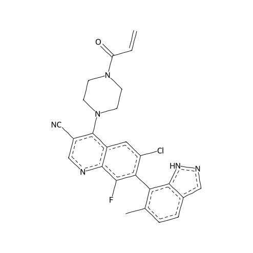 C=CC(=O)N1CCN(c2c(C#N)cnc3c(F)c(-c4c(C)ccc5cn[nH]c45)c(Cl)cc23)CC1